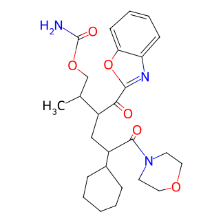 CC(COC(N)=O)C(CC(C(=O)N1CCOCC1)C1CCCCC1)C(=O)c1nc2ccccc2o1